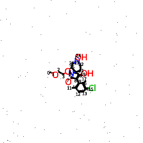 COCCON1C(=O)C(c2c(C)ccc(Cl)c2C)=C(O)C12CCN(O)CC2